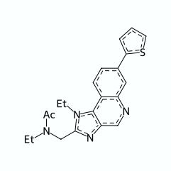 CCN(Cc1nc2cnc3cc(-c4cccs4)ccc3c2n1CC)C(C)=O